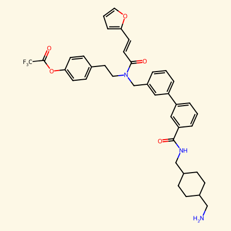 NCC1CCC(CNC(=O)c2cccc(-c3cccc(CN(CCc4ccc(OC(=O)C(F)(F)F)cc4)C(=O)/C=C/c4ccco4)c3)c2)CC1